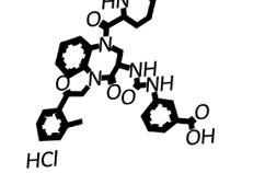 Cc1ccccc1C(=O)CN1C(=O)C(NC(=O)Nc2cccc(C(=O)O)c2)CN(C(=O)C2CCCCN2)c2ccccc21.Cl